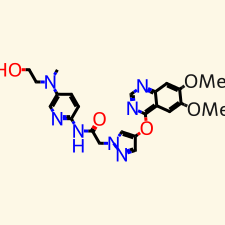 COc1cc2ncnc(Oc3cnn(CC(=O)Nc4ccc(N(C)CCO)cn4)c3)c2cc1OC